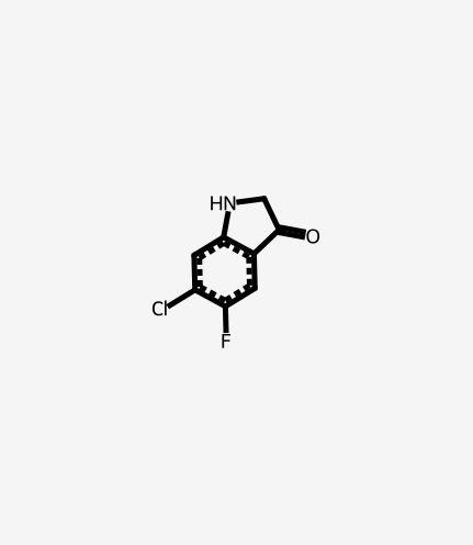 O=C1CNc2cc(Cl)c(F)cc21